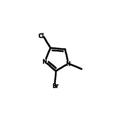 Cn1cc(Cl)nc1Br